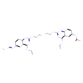 CCNc1nc(NCCOCCNc2nc(NCC)c3cc(NC(C)=O)ccc3n2)nc2ccc(N=COC)cc12